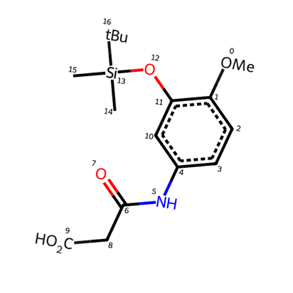 COc1ccc(NC(=O)CC(=O)O)cc1O[Si](C)(C)C(C)(C)C